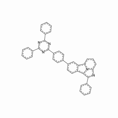 c1ccc(-c2nc(-c3ccccc3)nc(-c3ccc(-c4ccc5c(c4)c4cccc6nc(-c7ccccc7)c5n64)cc3)n2)cc1